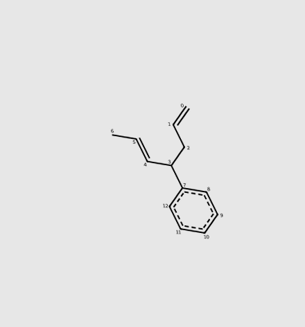 C=CCC(C=CC)c1ccccc1